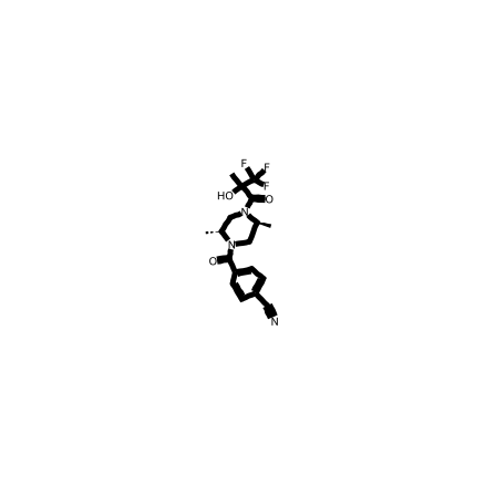 C[C@@H]1CN(C(=O)C(C)(O)C(F)(F)F)[C@@H](C)CN1C(=O)c1ccc(C#N)cc1